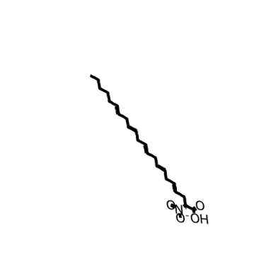 CCCCCC=CCC=CCC=CCC=CCC=CCC(C(=O)O)[N+](=O)[O-]